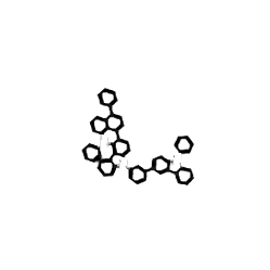 c1ccc(-c2ccc3c4c(cccc24)N(c2ccccc2)c2c-3ccc3c2c2ccccc2n3-c2cccc(-c3ccc4c(c3)c3ccccc3n4-c3ccccc3)c2)cc1